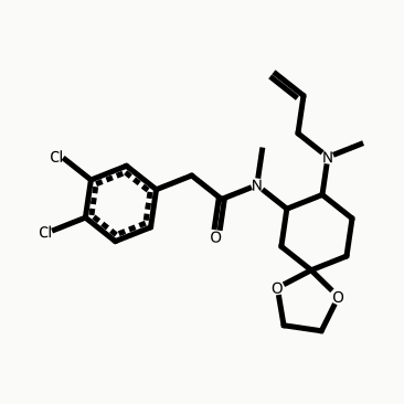 C=CCN(C)C1CCC2(CC1N(C)C(=O)Cc1ccc(Cl)c(Cl)c1)OCCO2